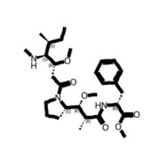 CC[C@H](C)[C@H](NC)[C@@H](CC(=O)N1CCC[C@H]1[C@H](OC)[C@@H](C)C(=O)N[C@H](Cc1ccccc1)C(=O)OC)OC